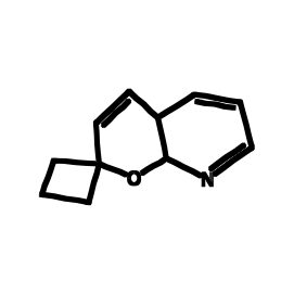 C1=CC2C=CC3(CCC3)OC2N=C1